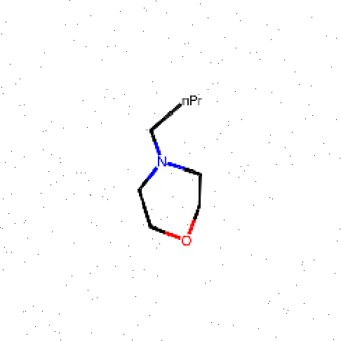 CCC[CH]N1CCOCC1